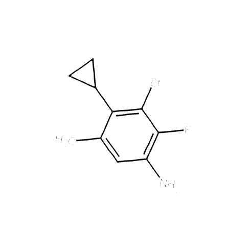 CCc1c(F)c(N)cc(C)c1C1CC1